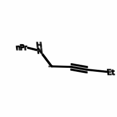 CCC#C[CH]NCCC